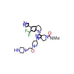 CNC(=O)N1CCc2c(c(N3CCCc4cc(-c5cnn(C)c5)c(C(F)F)cc43)nn2C2CCN(C(=O)CCN3CCNCC3)CC2)C1